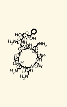 CC(C)C[C@@H]1NC(=O)[C@@H](CC(C)C)NC(=O)[C@H](CCCN)NC(=O)[C@@H](NC(=O)[C@H](CCN)NC(=O)[C@@H](NC(=O)C(O)C2CCCCC2)C(C)O)CCNC(=O)[C@H](C(C)O)NC(=O)[C@H](CCN)NC(=O)[C@H](CCCN)NC1=O